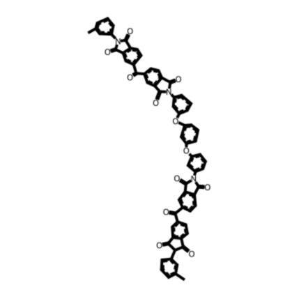 Cc1cccc(C2C(=O)c3ccc(C(=O)c4ccc5c(c4)C(=O)N(c4cccc(Oc6cccc(Oc7cccc(N8C(=O)c9ccc(C(=O)c%10ccc%11c(c%10)C(=O)N(c%10cccc(C)c%10)C%11=O)cc9C8=O)c7)c6)c4)C5=O)cc3C2=O)c1